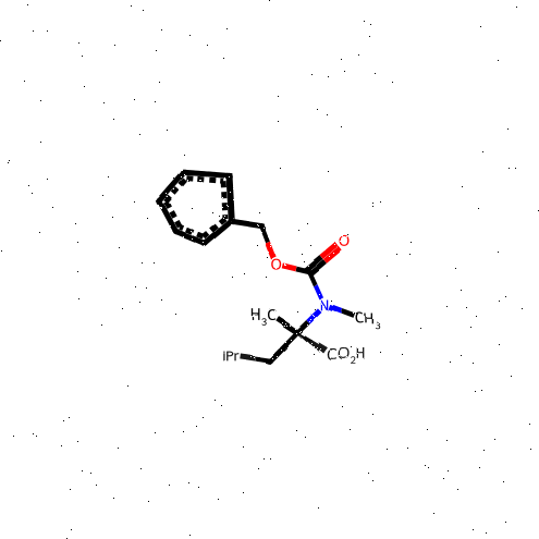 CC(C)C[C@@](C)(C(=O)O)N(C)C(=O)OCc1ccccc1